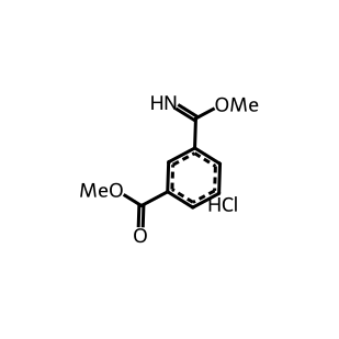 COC(=N)c1cccc(C(=O)OC)c1.Cl